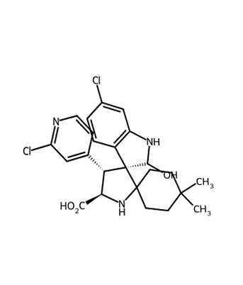 CC1(C)CCC2(CC1)N[C@@H](C(=O)O)[C@H](c1ccnc(Cl)c1)[C@@]21c2ccc(Cl)cc2NC1O